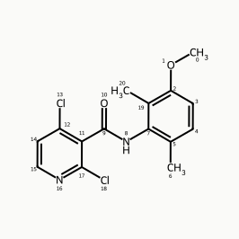 COc1ccc(C)c(NC(=O)c2c(Cl)ccnc2Cl)c1C